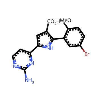 COc1ccc(Br)cc1-c1[nH]c(-c2ccnc(N)n2)cc1C(=O)O